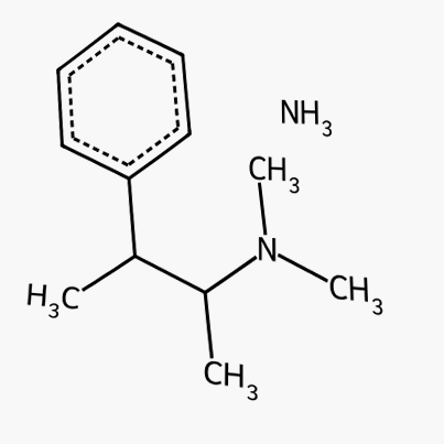 CC(c1ccccc1)C(C)N(C)C.N